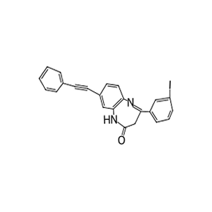 O=C1CC(c2cccc(I)c2)=Nc2ccc(C#Cc3ccccc3)cc2N1